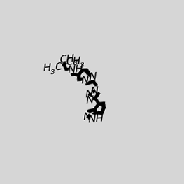 CC(C)(C)CNCc1ccc2nc(Cn3cc(-c4cccc5[nH]ncc45)nn3)cn2c1